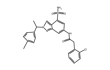 Cc1ccc(C(C)n2cc3c(S(N)(=O)=O)cc(NC(=O)Cc4ccccc4Cl)cc3n2)cc1